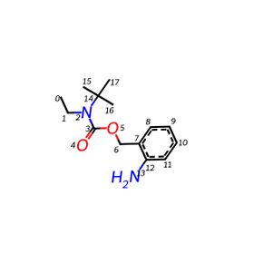 CCN(C(=O)OCc1ccccc1N)C(C)(C)C